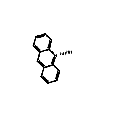 [HH].[HH].c1ccc2nc3ccccc3cc2c1